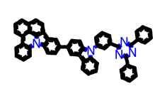 c1ccc(-c2nc(-c3ccccc3)nc(-c3cccc(-n4c5ccccc5c5cc(-c6ccc7c(c6)c6ccc8cccc9c%10ccccc%10n7c6c89)ccc54)c3)n2)cc1